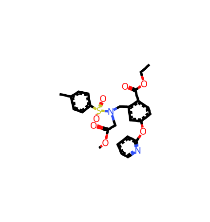 CCOC(=O)c1ccc(Oc2ccccn2)cc1CN(CC(=O)OC)S(=O)(=O)c1ccc(C)cc1